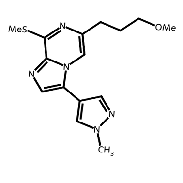 COCCCc1cn2c(-c3cnn(C)c3)cnc2c(SC)n1